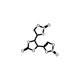 O=C1OC(C2=COS(=O)O2)C(C2COS(=O)O2)O1